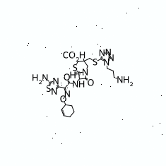 NCCCn1nnnc1SCC1(C(=O)O)CS[C@@H]2C(NC(=O)C(=NOC3C=CCCC3)c3nsc(N)n3)C(=O)N2C1